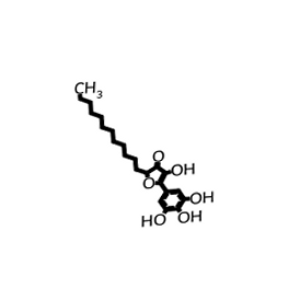 CCCCCCCCCCCCC1OC(c2cc(O)c(O)c(O)c2)=C(O)C1=O